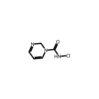 O=C(NCl)N1C=CC=NC1